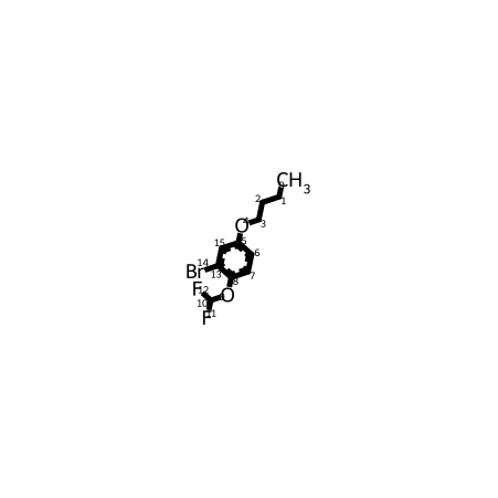 CCCCOc1ccc(OC(F)F)c(Br)c1